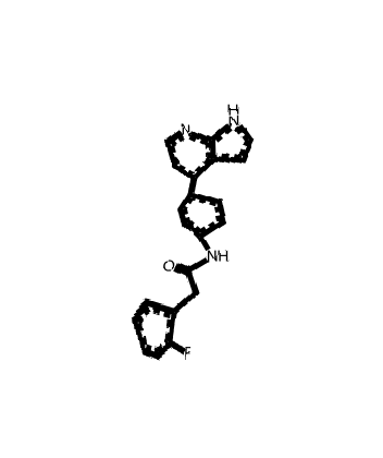 O=C(Cc1ccccc1F)Nc1ccc(-c2ccnc3[nH]ccc23)cc1